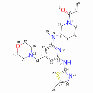 C=CC(=O)N1CCC[C@H](N(C)c2cc(CN3CCOCC3)cc(Nc3ncc(C)s3)n2)C1